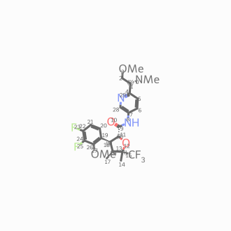 CN[C@@H](COC)c1ccc(NC(=O)[C@@H]2O[C@@](C)(C(F)(F)F)[C@@H](C)[C@H]2c2ccc(F)c(F)c2OC)cn1